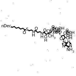 CCCCCCCCCCCCCCCCC(=O)SCCNC(=O)CCNC(=O)[C@H](O)C(C)(C)COP(=O)(O)OP(=O)(O)OC[C@H]1O[C@@H](n2cnc3c(N)ncnc32)[C@H](O)[C@@H]1OP(=O)(O)O